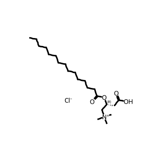 CCCCCCCCCCCCCCC(=O)O[C@H](CC(=O)O)C[N+](C)(C)C.[Cl-]